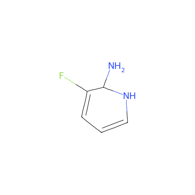 NC1NC=CC=C1F